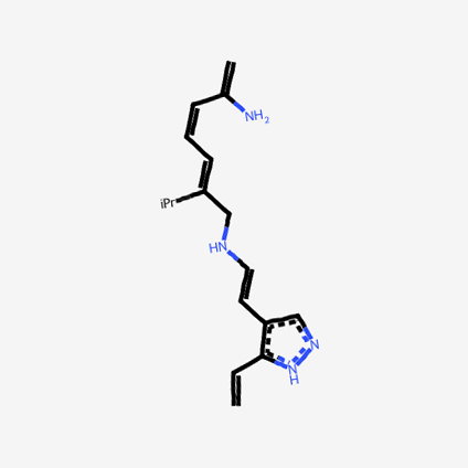 C=Cc1[nH]ncc1/C=C/NC/C(=C/C=C\C(=C)N)C(C)C